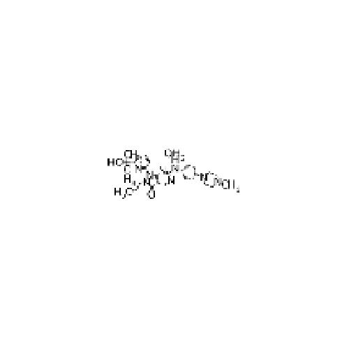 C=CCn1c(=O)c2cnc(Nc3ccc(N4CCN(C)CC4)cc3)nc2n1-c1cccc(C(C)(C)O)n1.O